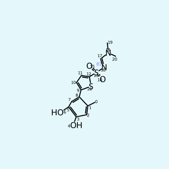 Cc1cc(O)c(O)cc1-c1ccc(S(=O)(=O)/N=C/N(C)C)s1